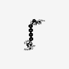 CC[C@H]1CC(C)N(C(=O)[C@@H](NC(=O)OC)C(C)C)[C@@H]1c1nc2ccc(-c3ccc(-c4ccc(-c5ccc6nc([C@@H]7[C@H]8CC[C@H](C8)N7C(=O)[C@@H](NC(=O)OC)C(C)C)[nH]c6c5)cc4)cc3)cc2[nH]1